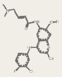 CCOc1cc2nc(C#N)cc(Nc3ccc(F)c(Cl)c3)c2cc1NC(=O)C=CCN(C)C